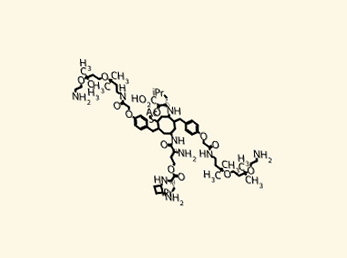 CC(=O)SC1CC(N[C@@H](CC(C)C)C(=O)C(=O)O)C(Cc2ccc(OCC(=O)NCCC(C)(C)OCCC(C)(C)OCCN)cc2)CC(NC(=O)[C@@H](N)CCOC(=O)[C@H](CC(C)C)NC2CCC2N)CC1Cc1ccc(OCC(=O)NCCC(C)(C)OCCC(C)(C)OCCN)cc1